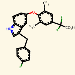 O=C(O)C(F)(F)c1cc(C(F)(F)F)c(Oc2ccc3[nH]cc(Cc4ccc(F)cc4)c3c2)c(C(F)(F)F)c1